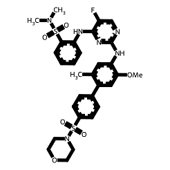 COc1cc(-c2ccc(S(=O)(=O)N3CCOCC3)cc2)c(C)cc1Nc1ncc(F)c(Nc2ccccc2S(=O)(=O)N(C)C)n1